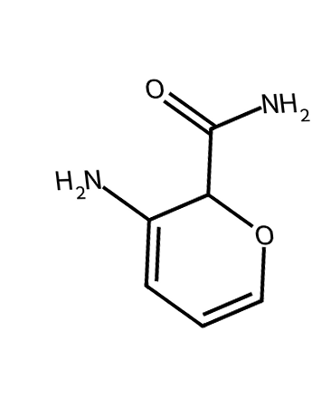 NC(=O)C1OC=CC=C1N